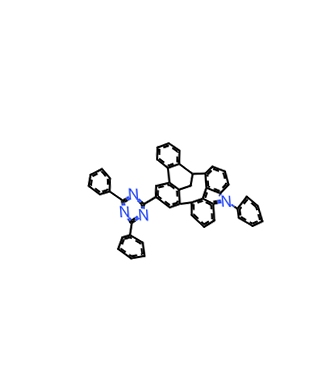 c1ccc(-c2nc(-c3ccccc3)nc(-c3cc4c5c(c3)-c3cccc6c3c3c(cccc3n6-c3ccccc3)C(C5)c3ccccc3-4)n2)cc1